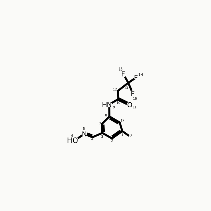 Cc1cc(C=NO)cc(NC(=O)CC(F)(F)F)c1